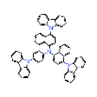 c1ccc2c(-n3c4ccccc4c4ccccc43)ccc(N(c3ccc(-n4c5ccccc5c5ccccc54)cc3)c3ccc(-n4c5ccccc5c5ccccc54)c4ccccc34)c2c1